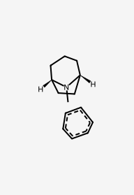 CN1[C@@H]2CCC[C@H]1CC2.c1ccccc1